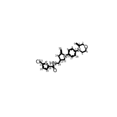 C=C1COCCN1c1ccc(N2CC(CNC(=O)c3ccc(Cl)s3)CC2=C)cc1